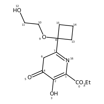 CCOC(=O)C1=C(O)C(=O)CC(C2(OCCO)CCC2)=N1